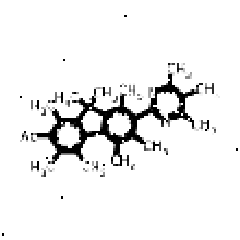 CC(=O)c1c(C)c(C)c2c(c1C)C(C)(C)c1c(C)c(-c3nc(C)c(C)c(C)n3)c(C)c(C)c1-2